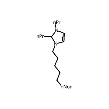 CCCCCCCCCCCCCCN1C=CN(CCC)C1CCC